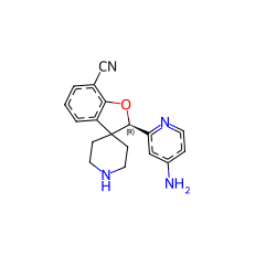 N#Cc1cccc2c1O[C@@H](c1cc(N)ccn1)C21CCNCC1